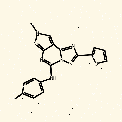 Cc1ccc(Nc2nc3nn(C)cc3c3nc(-c4ccco4)nn23)cc1